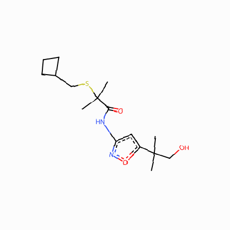 CC(C)(SCC1CCC1)C(=O)Nc1cc(C(C)(C)CO)on1